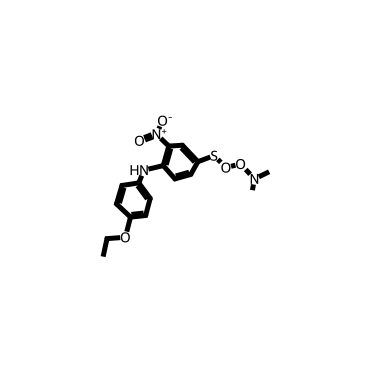 CCOc1ccc(Nc2ccc(SOON(C)C)cc2[N+](=O)[O-])cc1